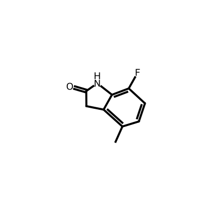 Cc1ccc(F)c2c1CC(=O)N2